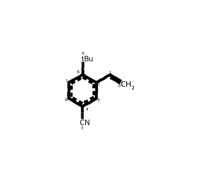 C=[C]c1cc(C#N)ccc1C(C)(C)C